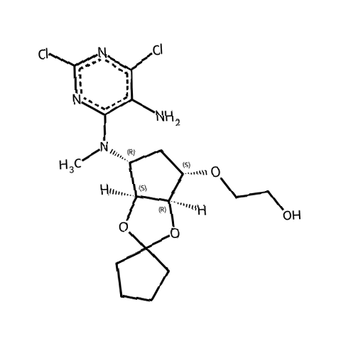 CN(c1nc(Cl)nc(Cl)c1N)[C@@H]1C[C@H](OCCO)[C@H]2OC3(CCCC3)O[C@H]21